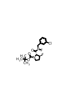 CC(C)(C)OC(=O)N1CC[C@H](F)[C@H]1C(=O)N(F)Cc1cccc(Cl)c1